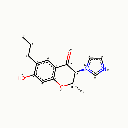 CCCc1cc2c(cc1O)O[C@@H](C)[C@H](n1ccnc1)C2=O